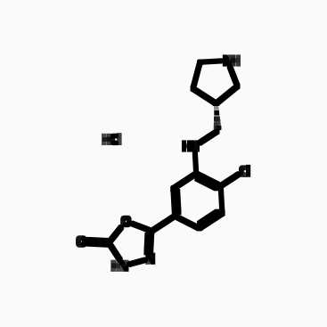 Cl.O=c1[nH]nc(-c2ccc(Cl)c(NC[C@@H]3CCNC3)c2)o1